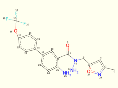 Cc1cc(CN(N)C(=O)c2cc(-c3ccc(OC(F)(F)F)cc3)ccc2N)on1